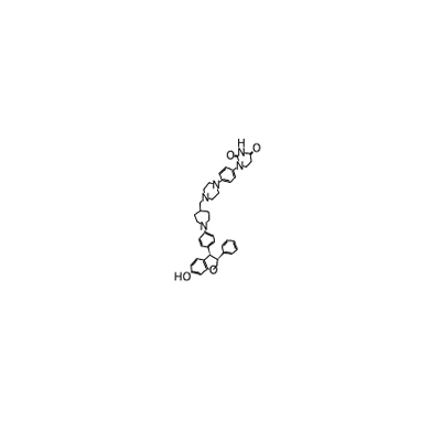 O=C1CCN(c2ccc(N3CCN(CC4CCN(c5ccc([C@@H]6c7ccc(O)cc7OC[C@@H]6c6ccccc6)cc5)CC4)CC3)cc2)C(=O)N1